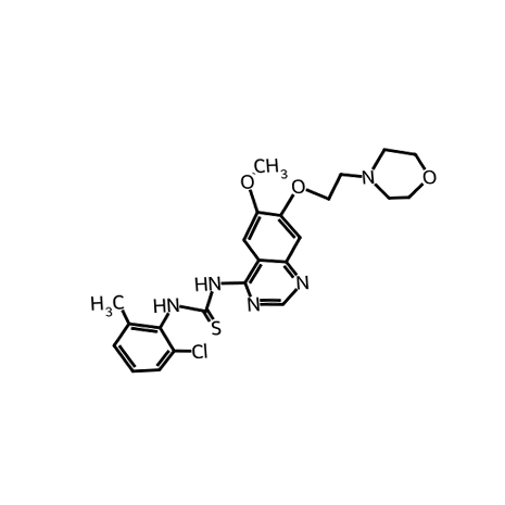 COc1cc2c(NC(=S)Nc3c(C)cccc3Cl)ncnc2cc1OCCN1CCOCC1